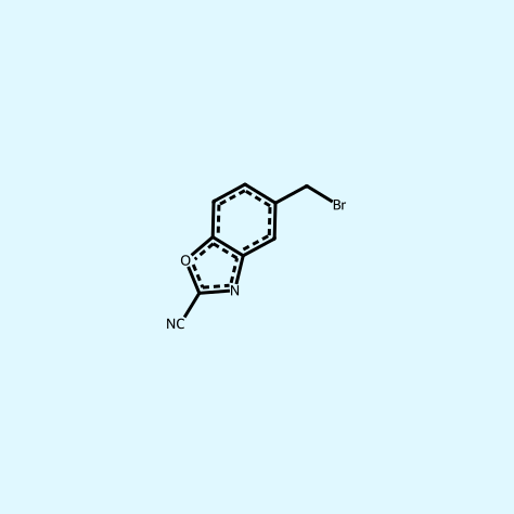 N#Cc1nc2cc(CBr)ccc2o1